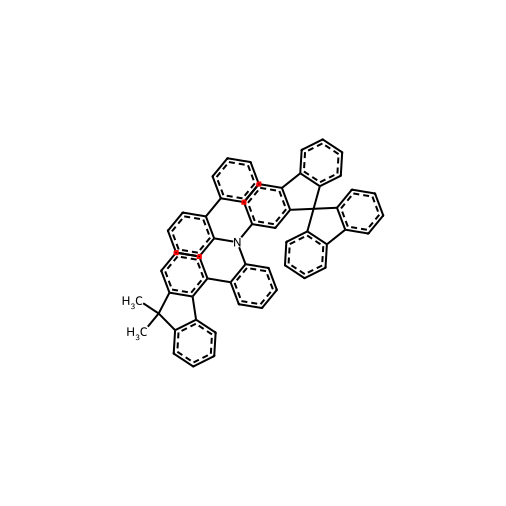 CC1(C)c2ccccc2-c2c(-c3ccccc3N(c3ccc4c(c3)C3(c5ccccc5-c5ccccc53)c3ccccc3-4)c3ccccc3-c3ccccc3)cccc21